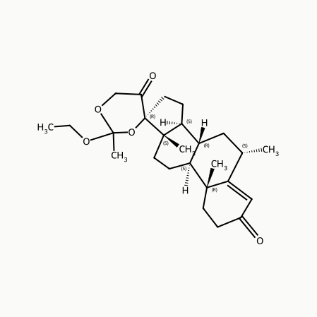 CCOC1(C)OCC(=O)[C@]2(CC[C@H]3[C@@H]4C[C@H](C)C5=CC(=O)CC[C@]5(C)[C@H]4CC[C@@]32C)O1